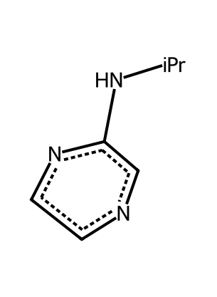 CC(C)Nc1cnccn1